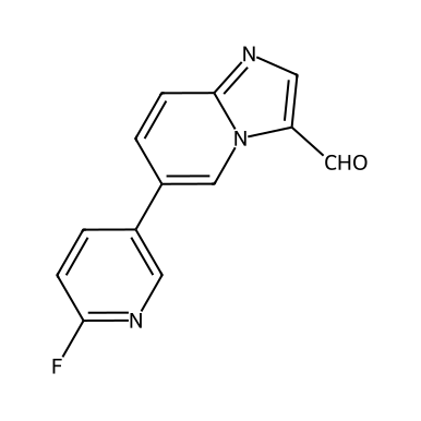 O=Cc1cnc2ccc(-c3ccc(F)nc3)cn12